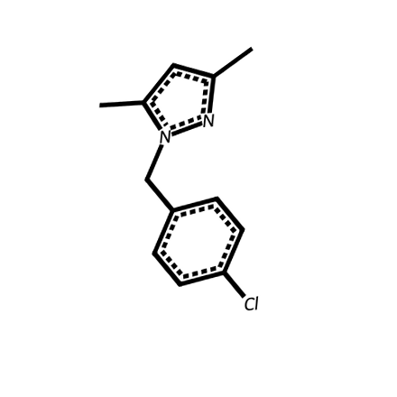 Cc1cc(C)n(Cc2ccc(Cl)cc2)n1